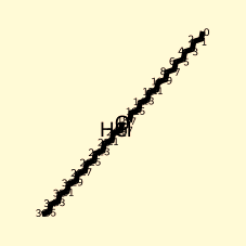 CCCCCCCCCCCCCCCCCCOCCCCCCCCCCCCCCCCCC.Cl